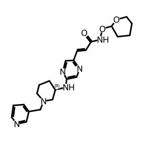 O=C(C=Cc1cnc(N[C@@H]2CCCN(Cc3cccnc3)C2)cn1)NOC1CCCCO1